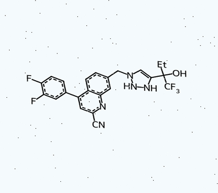 CCC(O)(C1=CN(Cc2ccc3c(-c4ccc(F)c(F)c4)cc(C#N)nc3c2)NN1)C(F)(F)F